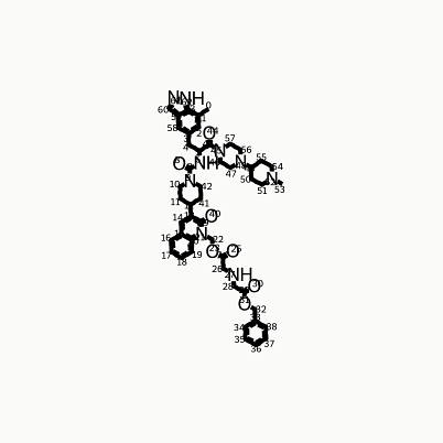 Cc1cc(CC(NC(=O)N2CCC(c3cc4ccccc4n(COC(=O)CNCC(=O)OCc4ccccc4)c3=O)CC2)C(=O)N2CCN(C3CCN(C)CC3)CC2)cc2cn[nH]c12